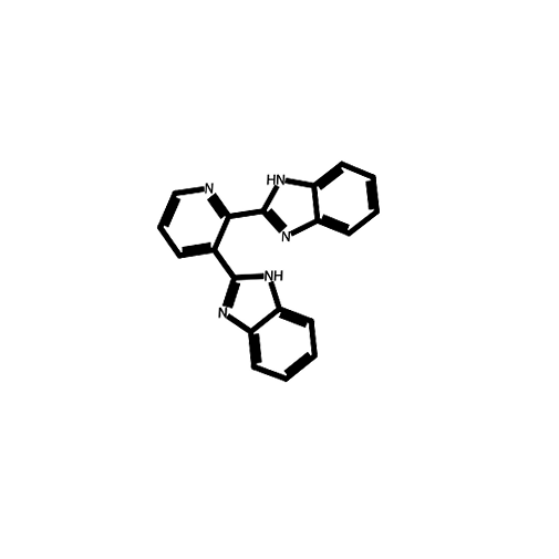 c1cnc(-c2nc3ccccc3[nH]2)c(-c2nc3ccccc3[nH]2)c1